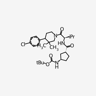 CC(C)[C@@H](NC(=O)[C@@H]1CC[C@@H](NC(=O)OC(C)(C)C)C1)C(=O)N1CCC(c2ccc(Cl)cc2)C(C)(C)C1